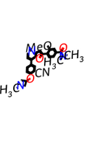 COc1cc(C(=O)N(C)C)ccc1-c1cc2nccc(-c3ccc(OC4CN(C)C4)c(C#N)c3)c2o1